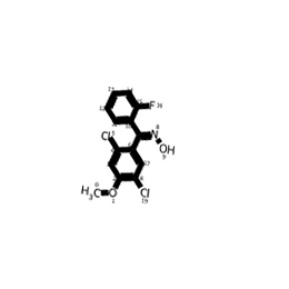 COc1cc(Cl)c(/C(=N\O)c2ccccc2F)cc1Cl